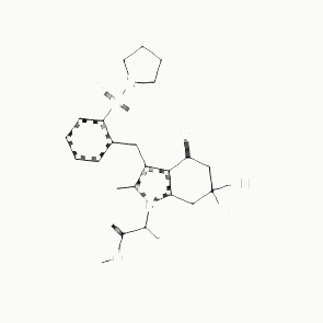 COC(=O)C(F)n1c(C)c(Cc2ccccc2S(=O)(=O)N2CCCC2)c2c1CC(C)(C)CC2=O